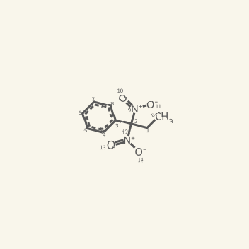 CCC(c1ccccc1)([N+](=O)[O-])[N+](=O)[O-]